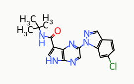 CC(C)(C)NC(=O)c1c[nH]c2ncc(-n3ncc4ccc(Cl)cc43)nc12